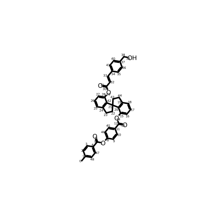 Cc1ccc(C(=O)Oc2ccc(C(=O)Oc3cccc4c3C3(CCc5cccc(OC(=O)/C=C/c6ccc(CO)cc6)c53)CC4)cc2)cc1